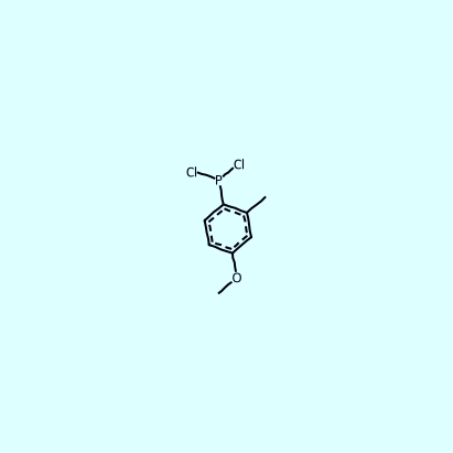 COc1ccc(P(Cl)Cl)c(C)c1